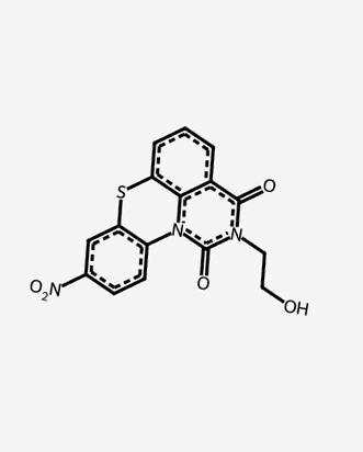 O=c1c2cccc3c2n(c(=O)n1CCO)-c1ccc([N+](=O)[O-])cc1S3